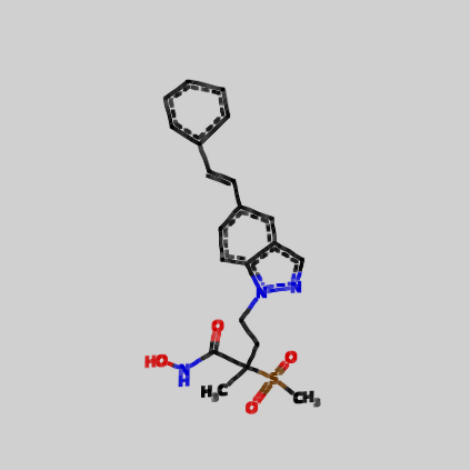 CC(CCn1ncc2cc(/C=C/c3ccccc3)ccc21)(C(=O)NO)S(C)(=O)=O